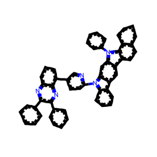 c1ccc(-c2nc3cccc(-c4ccc(-n5c6ccccc6c6cc7c8ccc9ccccc9c8n(-c8ccccc8)c7cc65)nc4)c3nc2-c2ccccc2)cc1